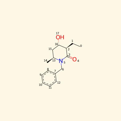 CC[C@H]1C(=O)N(Cc2ccccc2)[C@@H](C)C[C@@H]1O